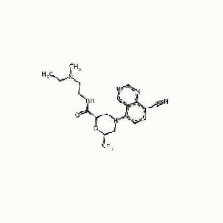 CCN(C)CCNC(=O)[C@H]1CN(c2ccc(C#N)c3ncncc23)C[C@@H](C)O1